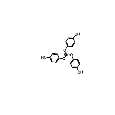 Oc1ccc([O][Sm]([O]c2ccc(O)cc2)[O]c2ccc(O)cc2)cc1